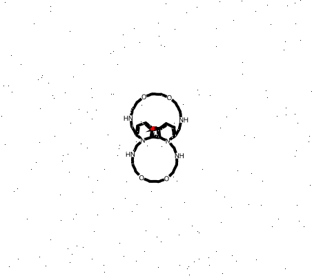 C1=C2CNCCOCCOCCNCC3=CC=c4ccc(c5c4N3CNCCOCCOCCNCN25)=C1